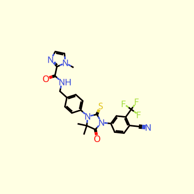 Cn1ccnc1C(=O)NCc1ccc(N2C(=S)N(c3ccc(C#N)c(C(F)(F)F)c3)C(=O)C2(C)C)cc1